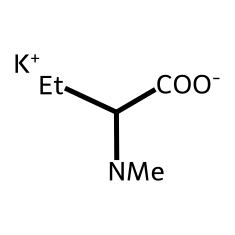 CCC(NC)C(=O)[O-].[K+]